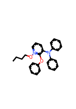 CCCCO[n+]1cccc(N(c2ccccc2)c2ccccc2)c1Oc1ccccc1